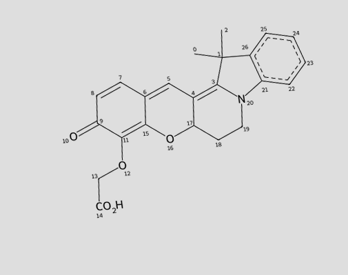 CC1(C)C2=C3C=C4C=CC(=O)C(OCC(=O)O)=C4OC3CCN2c2ccccc21